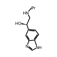 CC(C)NC[C@H](O)c1ccc2[nH]cnc2c1